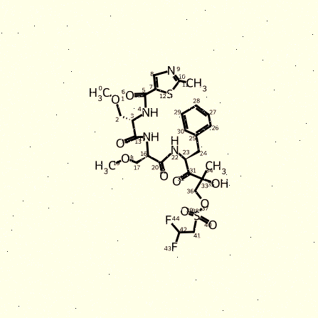 COC[C@H](NC(=O)c1cnc(C)s1)C(=O)N[C@H](COC)C(=O)N[C@@H](Cc1ccccc1)C(=O)C(C)(O)COS(=O)(=O)CC(F)F